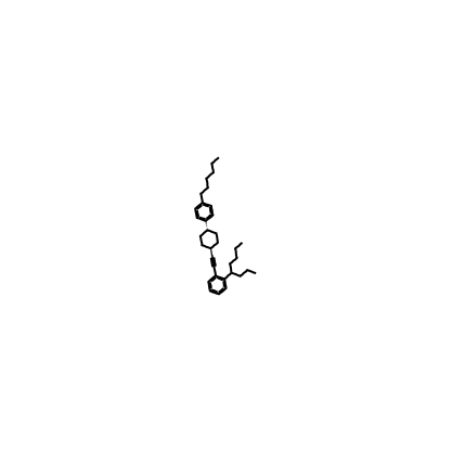 CCCCCCc1ccc([C@H]2CC[C@H](C#Cc3ccccc3C(CCC)CCCC)CC2)cc1